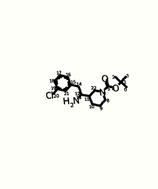 CC(C)(C)OC(=O)N1CCCC(C(N)Cc2cccc(Cl)c2)C1